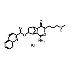 CN(C)CCCNC(=O)C1C2CC(OC(=O)c3cnc4ccccc4n3)C(C2)C1C(N)=O.Cl